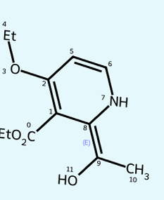 CCOC(=O)C1=C(OCC)C=CN/C1=C(\C)O